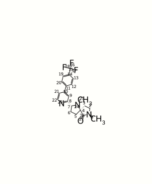 CN1CC[C@@]2(CC[C@H](c3cc(-c4ccc(C(F)(F)F)cc4)ccn3)N2C)C1=O